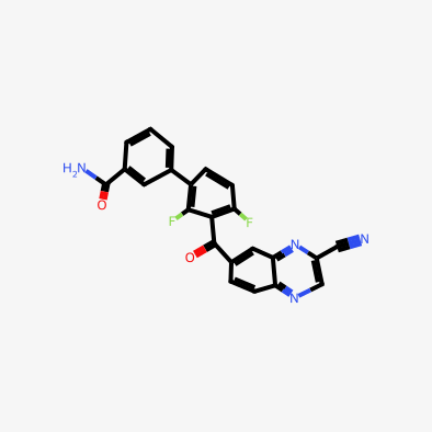 N#Cc1cnc2ccc(C(=O)c3c(F)ccc(-c4cccc(C(N)=O)c4)c3F)cc2n1